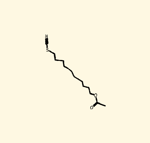 CC(=O)OCCCCCCCCCCSC#N